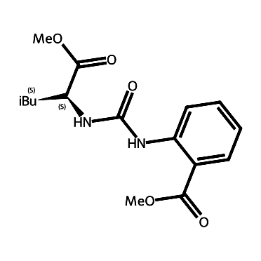 CC[C@H](C)[C@H](NC(=O)Nc1ccccc1C(=O)OC)C(=O)OC